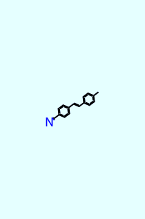 Cc1ccc(C=Cc2ccc(C#N)cc2)cc1